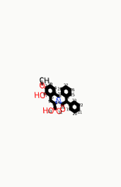 COc1ccc2c(c1O)CC(C(=O)O)N(C(=O)C(c1ccccc1)c1ccccc1)C2